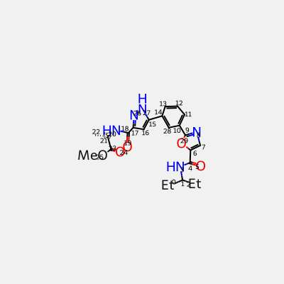 CCC(CC)NC(=O)c1cnc(-c2cccc(-c3cc(C(=O)N[C@@H](C)C(=O)OC)n[nH]3)c2)o1